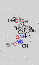 [2H]C1C([2H])C2(CO[Si](C)(C)C(C)(C)C)OC1(CO[Si](C)(C)C(C)(C)C)CC([2H])(c1ccc(NC(=O)c3nc(C#N)cn3COCC[Si](C)(C)C)c(C3=CCC(C)(C)CC3)c1)C2[2H]